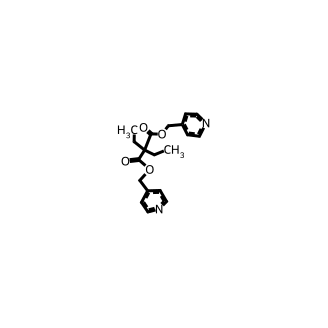 CCC(CC)(C(=O)OCc1ccncc1)C(=O)OCc1ccncc1